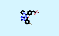 COC(=O)Cc1ccc(C(N2CCCC2)n2c(=O)c3cc(Br)ccc3n3cnnc23)cc1